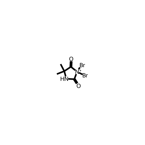 CC1(C)NC(=O)[N+](Br)(Br)C1=O